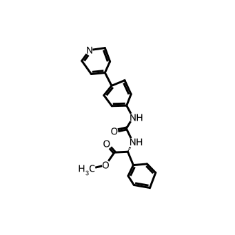 COC(=O)[C@H](NC(=O)Nc1ccc(-c2ccncc2)cc1)c1ccccc1